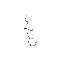 O=S(Cc1ccccc1)OSCF